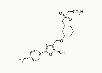 Cc1ccc(-c2nc(COC3CCCC(CS(=O)(=O)CC(=O)O)C3)c(C)o2)cc1